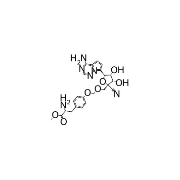 COC(=O)[C@@H](N)Cc1ccc(OCOC[C@@]2(C#N)O[C@@H](c3ccc4c(N)ncnn34)[C@H](O)[C@@H]2O)cc1